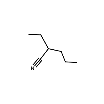 [CH]CC(C#N)CCC